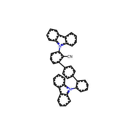 N#Cc1c(-c2ccc(-c3ccccc3-n3c4ccccc4c4ccccc43)cc2)cccc1-n1c2ccccc2c2ccccc21